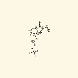 C[Si](C)(C)CCOCc1cccc2[nH]c(C=O)nc12